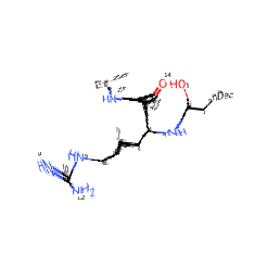 CCCCCCCCCCCC(O)NC(CCCNC(=N)N)C(=O)NCC